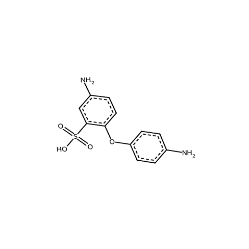 Nc1ccc(Oc2ccc(N)cc2S(=O)(=O)O)cc1